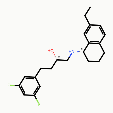 CCc1ccc2c(c1)[C@@H](NC[C@@H](O)CCc1cc(F)cc(F)c1)CCC2